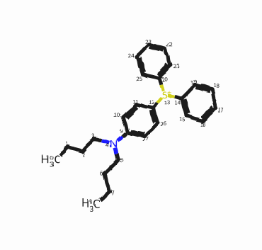 CCCCN(CCCC)c1ccc([S+](c2ccccc2)c2ccccc2)cc1